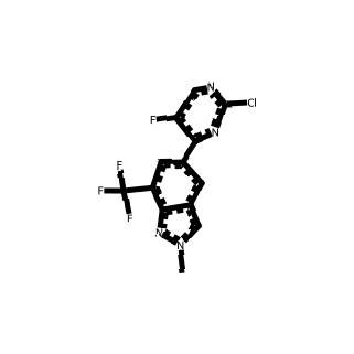 Cn1cc2cc(-c3nc(Cl)ncc3F)cc(C(F)(F)F)c2n1